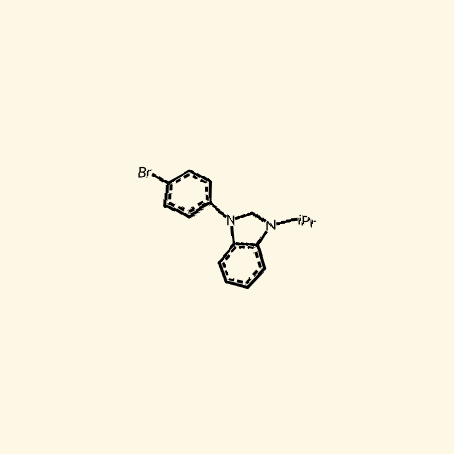 CC(C)N1CN(c2ccc(Br)cc2)c2ccccc21